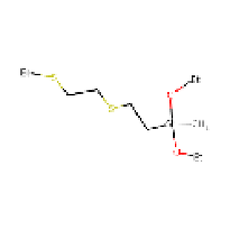 CCO[Si](C)(CCSCCSCC)OCC